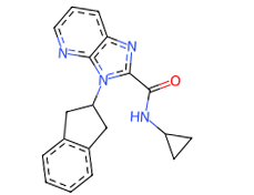 O=C(NC1CC1)c1nc2cccnc2n1C1Cc2ccccc2C1